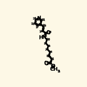 COC(=O)CCCCCCCNC(=O)/C=C/c1cccnc1